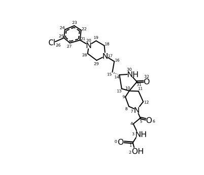 O=C(O)NCC(=O)N1CCC2(CC1)C[C@H](CCN1CCN(c3cccc(Cl)c3)CC1)NC2=O